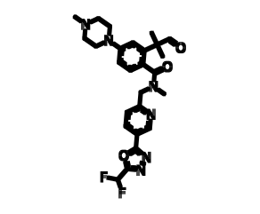 CN1CCN(c2ccc(C(=O)N(C)Cc3ccc(-c4nnc(C(F)F)o4)cn3)c(C(C)(C)C=O)c2)CC1